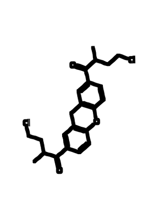 CC(CCCl)C(=O)c1ccc2c(c1)Cc1cc(C(=O)C(C)CCCl)ccc1O2